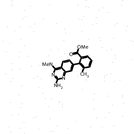 CNc1nc(N)nc2cc(-c3c(C)cccc3C(=O)OC)ccc12